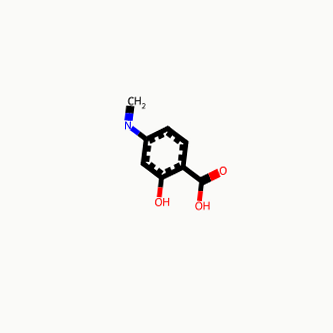 C=Nc1ccc(C(=O)O)c(O)c1